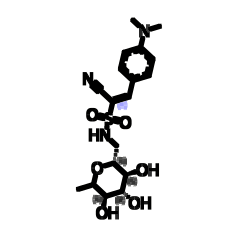 CC1O[C@H](CNS(=O)(=O)/C(C#N)=C/c2ccc(N(C)C)cc2)[C@@H](O)[C@H](O)[C@H]1O